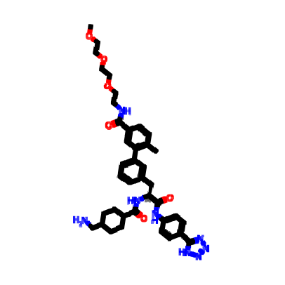 COCCOCCOCCNC(=O)c1ccc(C)c(-c2cccc(C[C@H](NC(=O)C3CCC(CN)CC3)C(=O)Nc3ccc(-c4nnn[nH]4)cc3)c2)c1